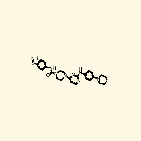 NSc1ccc(NC(=O)N2CCN(c3ccnc(Nc4ccc(N5CCOCC5)cc4)n3)CC2)cc1